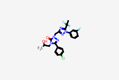 CC(F)(F)c1nc(Cn2nc(-c3ccc(Cl)cc3)n(CC(O)C(F)(F)F)c2=O)nn1-c1cccc(F)c1